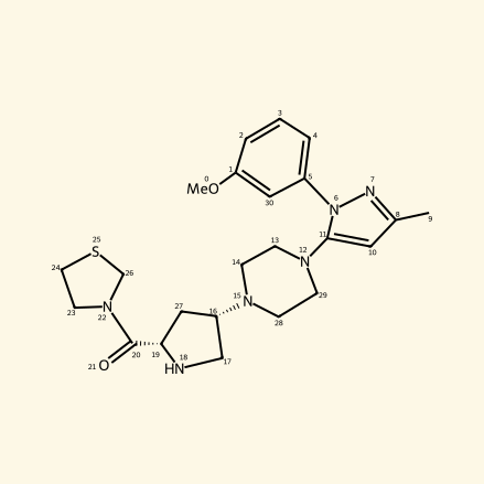 COc1cccc(-n2nc(C)cc2N2CCN([C@@H]3CN[C@H](C(=O)N4CCSC4)C3)CC2)c1